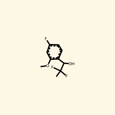 COc1cc(F)ccc1C(O)C(C)(F)F